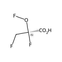 O=C(O)[C@](F)(CF)OF